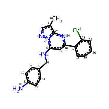 Cc1cnn2c(NCc3ccc(N)cc3)cc(-c3ccccc3Cl)nc12